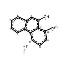 Oc1cc2ccccc2c2ccc[c]([Pd+2])c12.[I-].[I-]